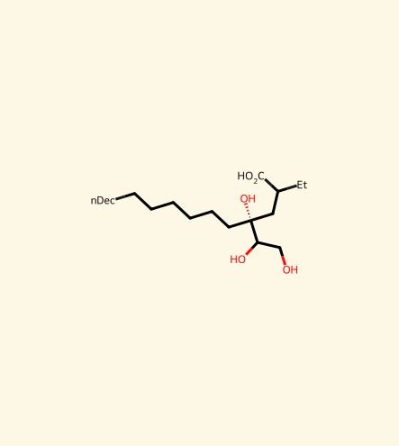 CCCCCCCCCCCCCCCC[C@@](O)(CC(CC)C(=O)O)C(O)CO